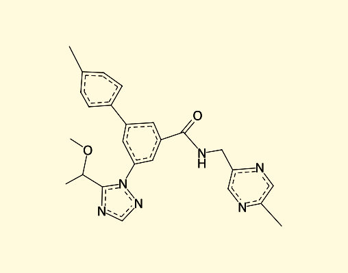 COC(C)c1ncnn1-c1cc(C(=O)NCc2cnc(C)cn2)cc(-c2ccc(C)cc2)c1